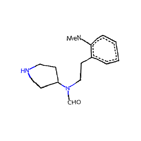 CNc1ccccc1CCN(C=O)C1CCNCC1